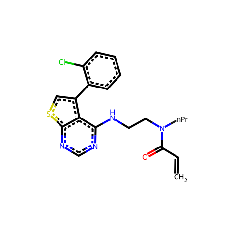 C=CC(=O)N(CCC)CCNc1ncnc2scc(-c3ccccc3Cl)c12